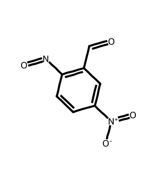 O=Cc1cc([N+](=O)[O-])ccc1N=O